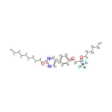 CCCCCCCCCOc1ncc(-c2ccc(OCC(OCCCCCC)C(F)(F)F)cc2)cn1